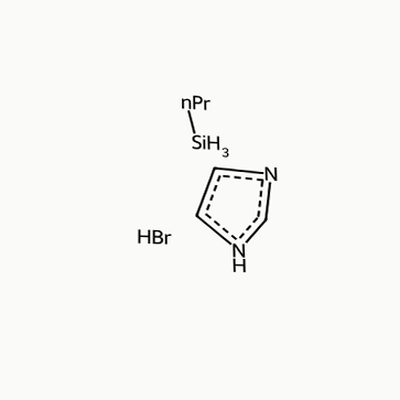 Br.CCC[SiH3].c1c[nH]cn1